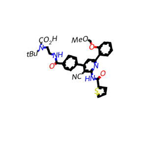 COCOc1ccccc1-c1cc(-c2ccc(C(=O)NCCN(C(=O)O)C(C)(C)C)cc2)c(C#N)c(NC(=O)c2cccs2)n1